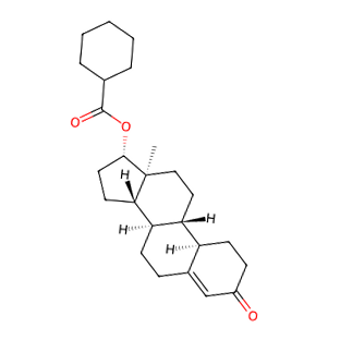 C[C@]12CC[C@H]3[C@@H](CCC4=CC(=O)CC[C@@H]43)[C@@H]1CC[C@@H]2OC(=O)C1CCCCC1